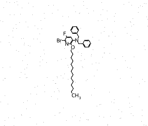 CCCCCCCCCCCCCCOc1nc(Br)c(F)cc1N(Cc1ccccc1)Cc1ccccc1